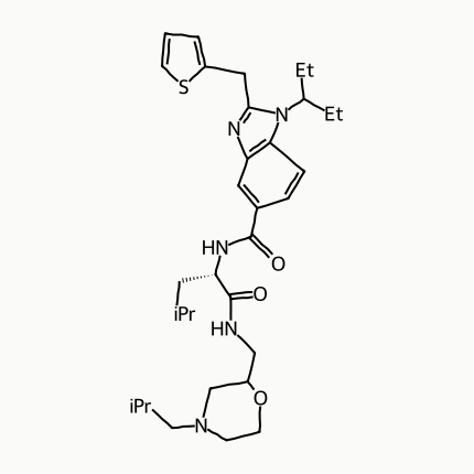 CCC(CC)n1c(Cc2cccs2)nc2cc(C(=O)N[C@@H](CC(C)C)C(=O)NCC3CN(CC(C)C)CCO3)ccc21